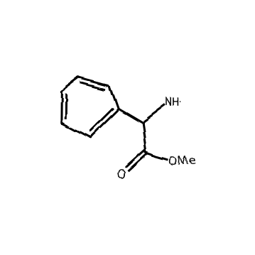 COC(=O)C([NH])c1ccccc1